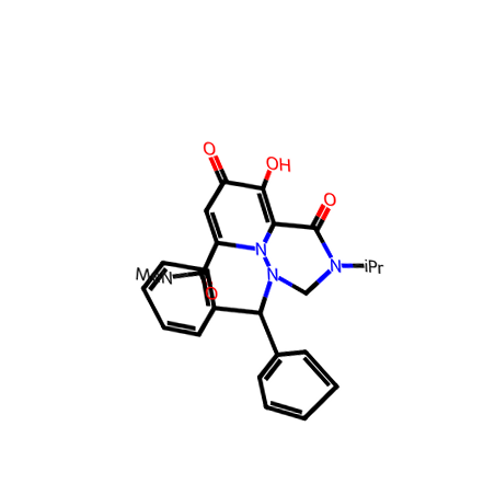 CNC(=O)c1cc(=O)c(O)c2n1N(C(c1ccccc1)c1ccccc1)CN(C(C)C)C2=O